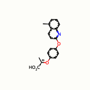 Cc1cccc2nc(Oc3ccc(O[C@H](C)C(=O)O)cc3)ccc12